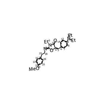 CCN1C(=O)/C(=C\c2ccc(N(CC)CC)cc2)O/C1=N\CCc1ccc(OC)cc1